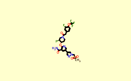 CS(=O)(=O)Cn1cc(-c2cnc(O[C@H]3CCN(C(=O)Cc4ccc(OC(F)(F)F)c(F)c4)C[C@@H]3F)c(C(N)=O)c2)cn1